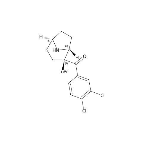 CCC[C@@]1(C(=O)c2ccc(Cl)c(Cl)c2)CC[C@H]2CC[C@H]1N2